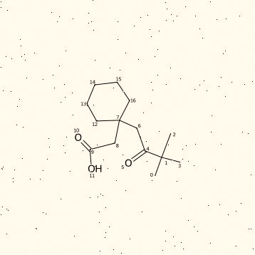 CC(C)(C)C(=O)CC1(CC(=O)O)CCCCC1